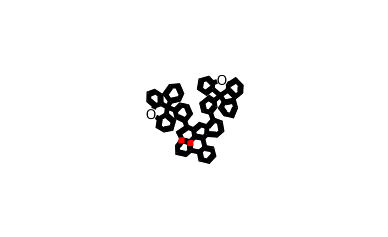 c1ccc(-c2ccccc2-c2c3cccc(-c4cccc(C5(c6ccccc6)c6ccccc6Oc6ccccc65)c4)c3cc3c(-c4cccc(C5(c6ccccc6)c6ccccc6Oc6ccccc65)c4)cccc23)cc1